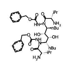 CCCC[C@@H]([C@@H](O)[C@H](O)[C@H](CCCC)N(NC(=O)OCc1ccccc1)C(=O)[C@@H](N)C(C)C)N(NC(=O)OCc1ccccc1)C(=O)[C@@H](N)C(C)C